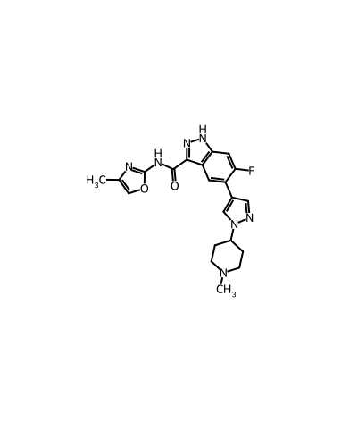 Cc1coc(NC(=O)c2n[nH]c3cc(F)c(-c4cnn(C5CCN(C)CC5)c4)cc23)n1